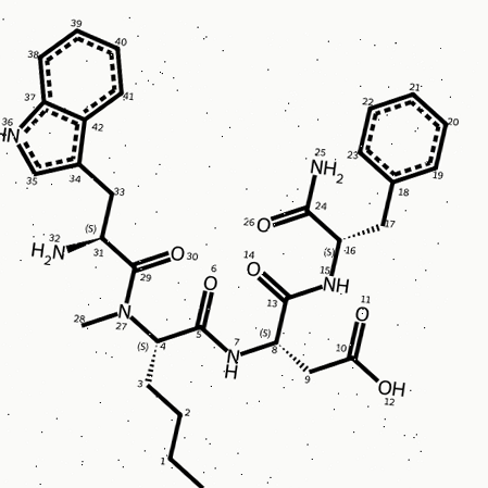 CCCC[C@@H](C(=O)N[C@@H](CC(=O)O)C(=O)N[C@@H](Cc1ccccc1)C(N)=O)N(C)C(=O)[C@@H](N)Cc1c[nH]c2ccccc12